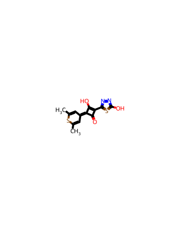 CC1=CC(=C2C(=O)C(c3nnc(O)s3)=C2O)C=C(C)S1